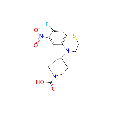 O=C(O)N1CCC(N2CCSc3cc(F)c([N+](=O)[O-])cc32)CC1